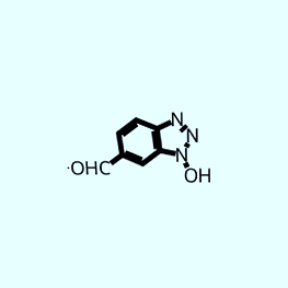 O=[C]c1ccc2nnn(O)c2c1